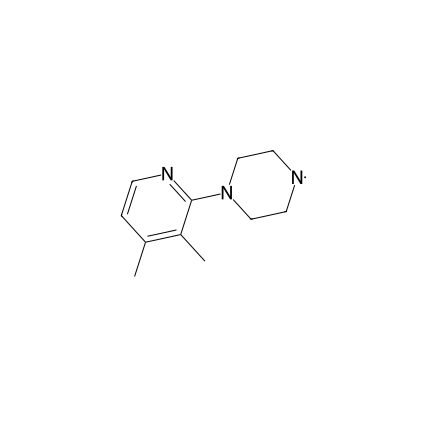 Cc1ccnc(N2CC[N]CC2)c1C